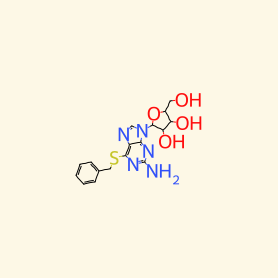 Nc1nc(SCc2ccccc2)c2ncn(C3OC(CO)C(O)C3O)c2n1